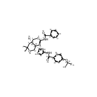 CC1(C)C[C@H]2COC(NC(=O)c3ccccc3)=N[C@@]2(c2nc(NC(=O)c3ccc(OC(F)F)cn3)cs2)CO1